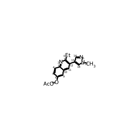 CCc1nc2ccc(OOC(C)=O)cc2cc1-c1cnn(C)c1